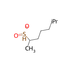 CC(C)CCCC(C)[SH](=O)=O